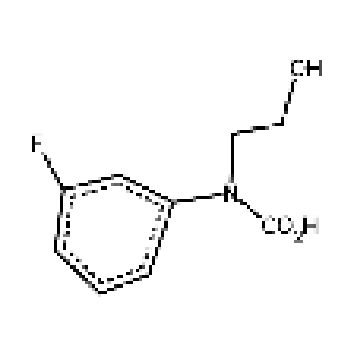 O=C(O)N(CCO)c1cccc(F)c1